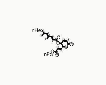 CCCCCCC(C)/C=C(C)/C=C/C(=O)O[C@H]1C=CC(=O)O[C@H]1/C=C/C(=O)OCCC